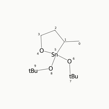 C[CH]1CC[O][Sn]1([O]C(C)(C)C)[O]C(C)(C)C